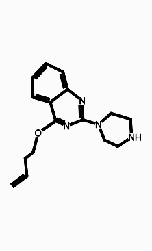 C=CCCOc1nc(N2CCNCC2)nc2ccccc12